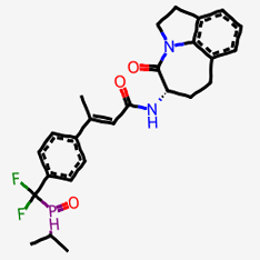 C/C(=C\C(=O)N[C@H]1CCc2cccc3c2N(CC3)C1=O)c1ccc(C(F)(F)[PH](=O)C(C)C)cc1